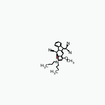 CCCCN(CCCC)c1ccc(/C=C2/C(=C(C#N)C#N)c3ccccc3C2C(C#N)C#N)c(OC)c1